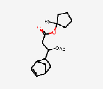 CCC1(OC(=O)CC(OC(C)=O)C2CC3C=CC2C3)CCCC1